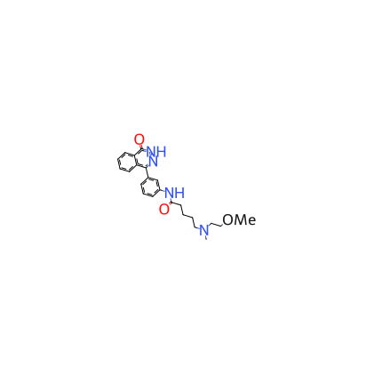 COCCN(C)CCCCC(=O)Nc1cccc(-c2n[nH]c(=O)c3ccccc23)c1